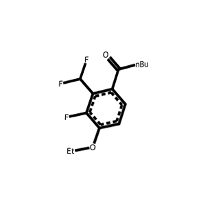 CCCCC(=O)c1ccc(OCC)c(F)c1C(F)F